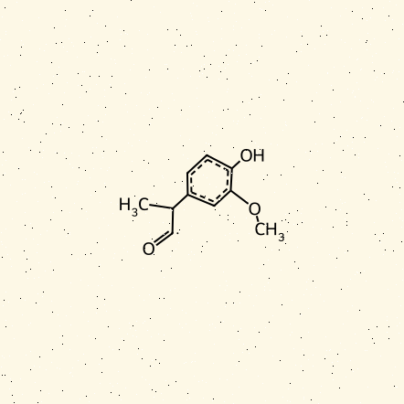 COc1cc(C(C)[C]=O)ccc1O